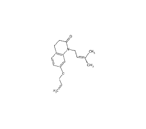 C=CCOc1ccc2c(c1)N(CC=C(C)C)C(=O)CC2